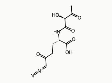 CC(=O)[C@H](O)C(=O)N[C@@H](CCC(=O)C=[N+]=[N-])C(=O)O